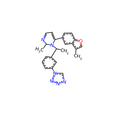 Cc1coc2ccc(C3=CC=NC(C)N3C(C)c3cccc(-n4cnnn4)c3)cc12